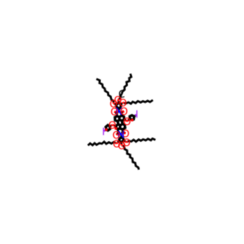 CCCCCCCCCCCCOc1cc(N2C(=O)c3ccc4c5c(Oc6ccc(I)cc6)cc6c7c(ccc(c8c(Oc9ccc(I)cc9)cc(c3c48)C2=O)c75)C(=O)N(c2cc(OCCCCCCCCCCCC)c(OCCCCCCCCCCCC)c(OCCCCCCCCCCCC)c2)C6=O)cc(OCCCCCCCCCCCC)c1OCCCCCCCCCCCC